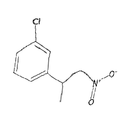 CC(C[N+](=O)[O-])c1cccc(Cl)c1